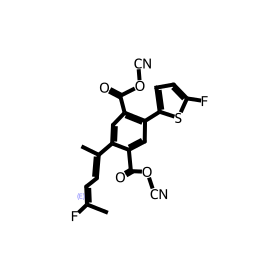 CC(=C/C=C(\C)F)c1cc(C(=O)OC#N)c(-c2ccc(F)s2)cc1C(=O)OC#N